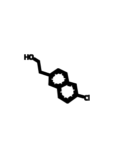 OCCc1ccc2cc(Cl)ccc2c1